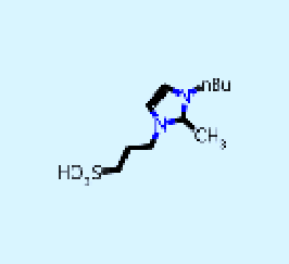 CCCCN1C=CN(CCCS(=O)(=O)O)C1C